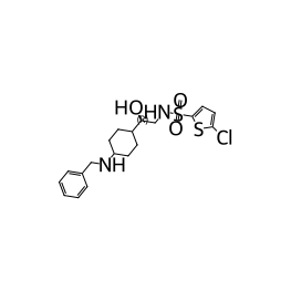 O=S(=O)(NC[C@H](O)C1CCC(NCc2ccccc2)CC1)c1ccc(Cl)s1